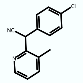 Cc1cccnc1C(C#N)c1ccc(Cl)cc1